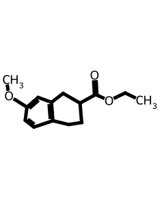 CCOC(=O)C1CCc2ccc(OC)cc2C1